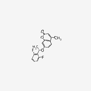 Cc1cc(=O)oc2cc(OC(C)c3c(F)cccc3F)ccc12